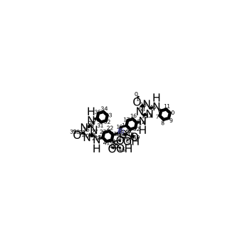 COc1nc(Nc2ccccc2)nc(Nc2ccc(/C=C/c3ccc(Nc4nc(Nc5ccccc5)nc(OC)n4)cc3S(=O)(=O)O)c(S(=O)(=O)O)c2)n1